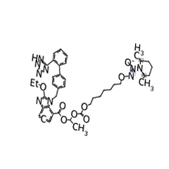 CCOc1nc2cccc(C(=O)OC(C)OC(=O)OCCCCCCCO/N=[N+](\[O-])N3[C@H](C)CCC[C@@H]3C)c2n1Cc1ccc(-c2ccccc2-c2nnn[nH]2)cc1